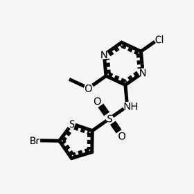 COc1ncc(Cl)nc1NS(=O)(=O)c1ccc(Br)s1